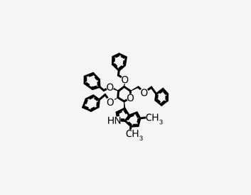 Cc1cc(C)c2[nH]cc([C@@H]3O[C@H](COCc4ccccc4)[C@@H](OCc4ccccc4)[C@H](OCc4ccccc4)[C@H]3OCc3ccccc3)c2c1